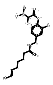 C=C(CCCC/C=C/C(C)C)NCc1ccc(OC(=C)C(C)N(C)CC)c(CC)c1